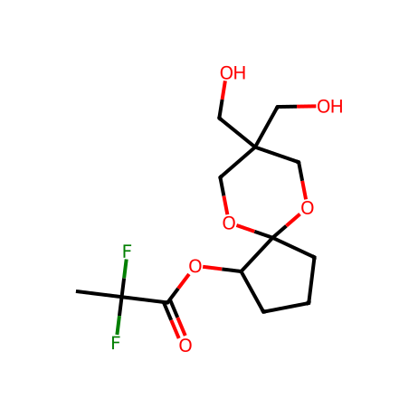 CC(F)(F)C(=O)OC1CCCC12OCC(CO)(CO)CO2